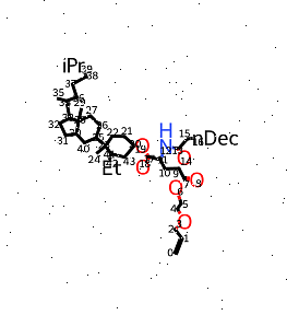 C=CCOCCOC(=O)CCC(NC(=O)CCCCCCCCCCC)C(=O)OC1CCC(C)(C2CCC3(C)C(CCC3C(C)CCCC(C)C)C2)C(CC)C1